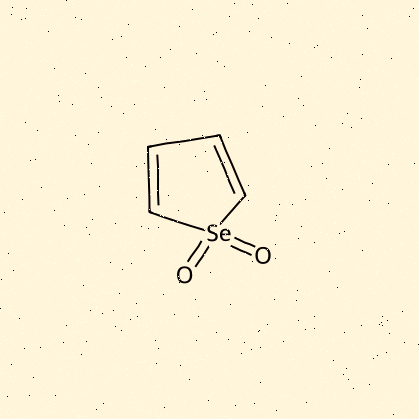 O=[Se]1(=O)C=CC=C1